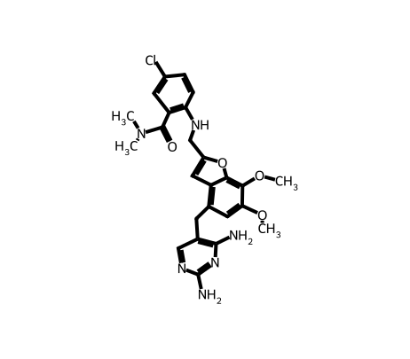 COc1cc(Cc2cnc(N)nc2N)c2cc(CNc3ccc(Cl)cc3C(=O)N(C)C)oc2c1OC